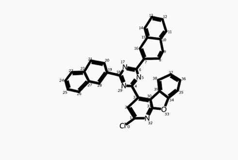 Clc1cc(-c2nc(-c3ccc4ccccc4c3)nc(-c3ccc4ccccc4c3)n2)c2c(n1)oc1ccccc12